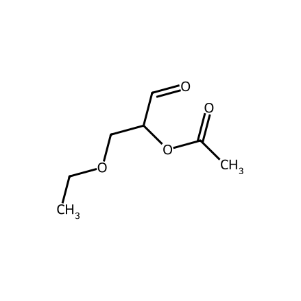 CCOCC(C=O)OC(C)=O